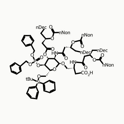 CCCCCCCCCCC[C@H](CC(=O)N[C@@H](CO[C@@H]1O[C@H](CO[Si](c2ccccc2)(c2ccccc2)C(C)(C)C)[C@@H](OP(=O)(OCc2ccccc2)OCc2ccccc2)[C@H](OC(=O)C[C@@H](CCCCCCCCCCC)OC(=O)CCCCCCCCC)[C@H]1NC(=O)C[C@@H](CCCCCCCCCCC)OC(=O)CCCCCCCCC)CC(=O)O)OC(=O)CCCCCCCCC